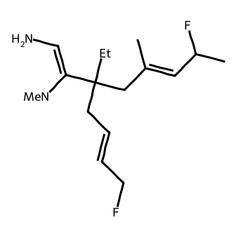 CCC(C/C=C/CF)(C/C(C)=C/C(C)F)/C(=C/N)NC